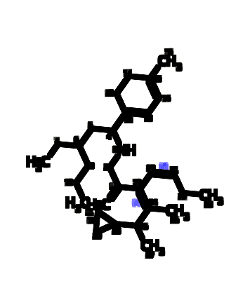 C=C(CNC(CC(CC)CCC)C1=CC=C(C)CC1)C(/C=C\CC)=C(/C)C(C)C1CC1